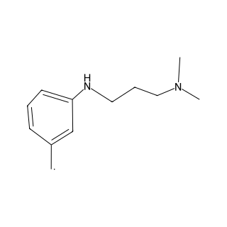 [CH2]c1cccc(NCCCN(C)C)c1